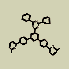 Cc1cccc(-c2ccc(-c3cc(-c4ccc(-c5cccc(C)n5)cc4)cc(-c4nc(-c5ccccc5)nc(-c5ccccc5)n4)c3)cc2)n1